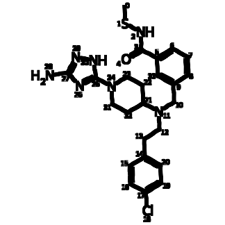 CSNC(=O)c1cccc(CN(CCc2ccc(Cl)cc2)C2CCN(c3nc(N)n[nH]3)CC2)c1